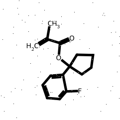 C=C(C)C(=O)OC1(c2ccccc2F)CCCC1